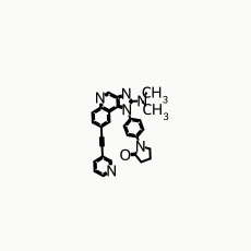 CN(C)c1nc2cnc3ccc(C#Cc4cccnc4)cc3c2n1-c1ccc(N2CCCC2=O)cc1